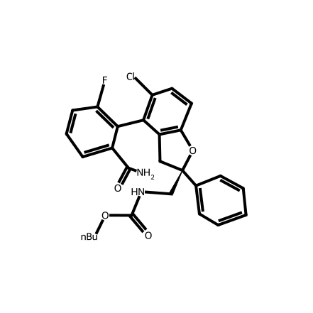 CCCCOC(=O)NC[C@@]1(c2ccccc2)Cc2c(ccc(Cl)c2-c2c(F)cccc2C(N)=O)O1